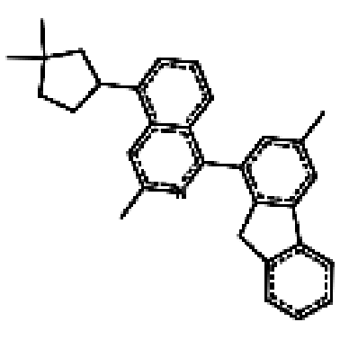 Cc1cc2c(c(-c3nc(C)cc4c(C5CCC(C)(C)C5)cccc34)c1)Cc1ccccc1-2